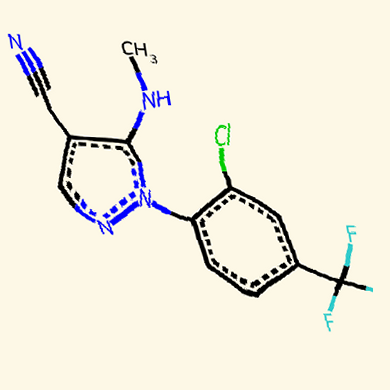 CNc1c(C#N)cnn1-c1ccc(C(F)(F)F)cc1Cl